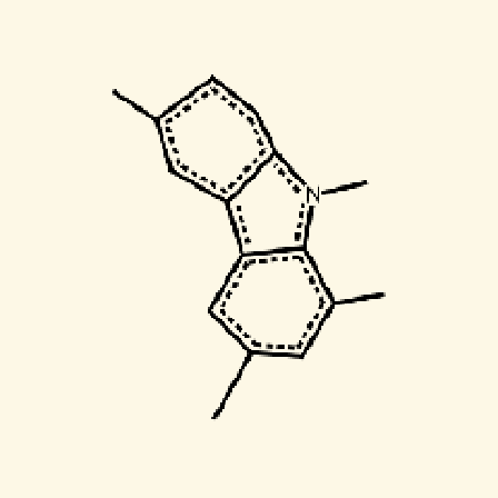 Cc1ccc2c(c1)c1cc(C)cc(C)c1n2C